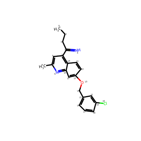 CCCC(=N)c1cc(C)nc2cc(OCc3cccc(Cl)c3)ccc12